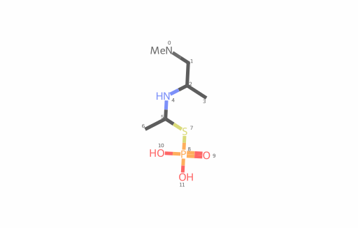 CNCC(C)NC(C)SP(=O)(O)O